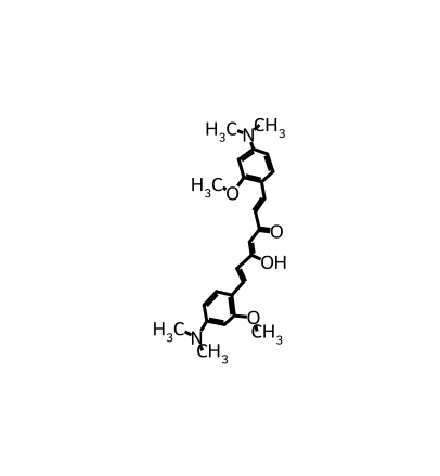 COc1cc(N(C)C)ccc1C=CC(=O)C=C(O)C=Cc1ccc(N(C)C)cc1OC